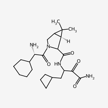 CC1(C)C2CN(C(=O)[C@@H](N)C3CCCCC3)C(C(=O)NC(CC3CCC3)C(=O)C(N)=O)[C@@H]21